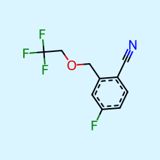 N#Cc1ccc(F)cc1COCC(F)(F)F